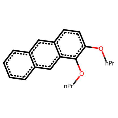 CCCOc1ccc2cc3ccccc3cc2c1OCCC